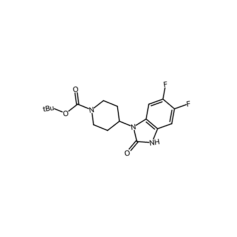 CC(C)(C)OC(=O)N1CCC(n2c(=O)[nH]c3cc(F)c(F)cc32)CC1